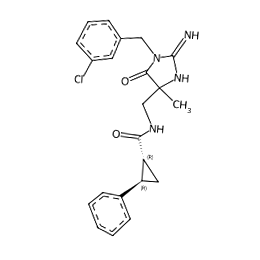 CC1(CNC(=O)[C@@H]2C[C@H]2c2ccccc2)NC(=N)N(Cc2cccc(Cl)c2)C1=O